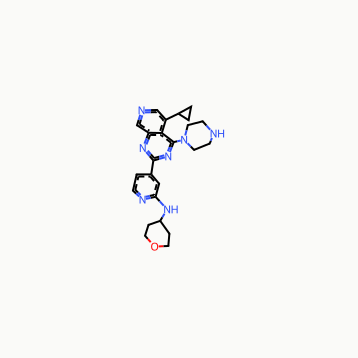 c1cc(-c2nc(N3CCNCC3)c3c(C4CC4)cncc3n2)cc(NC2CCOCC2)n1